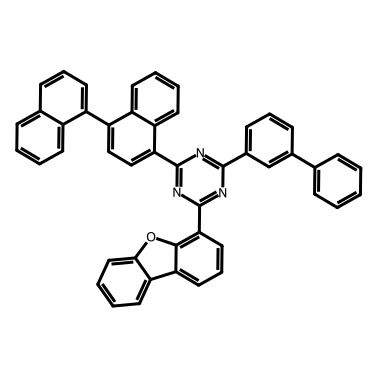 c1ccc(-c2cccc(-c3nc(-c4ccc(-c5cccc6ccccc56)c5ccccc45)nc(-c4cccc5c4oc4ccccc45)n3)c2)cc1